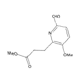 COC(=O)CCc1nc(C=O)ccc1OC